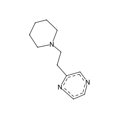 c1cnc(CCN2CCCCC2)cn1